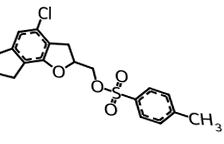 Cc1ccc(S(=O)(=O)OCC2Cc3c(Cl)cc4c(c3O2)CCC4)cc1